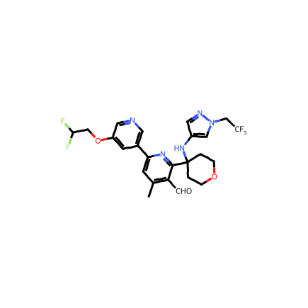 Cc1cc(-c2cncc(OCC(F)F)c2)nc(C2(Nc3cnn(CC(F)(F)F)c3)CCOCC2)c1C=O